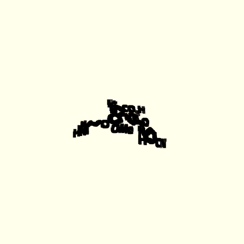 CCc1nc2cc(OCCCc3c[nH]nn3)c(OC)cc2c(N2CCN(C(=O)Nc3ccc(C#N)cc3)CC2)c1C(=O)O